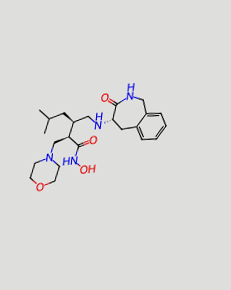 CC(C)C[C@@H](CN[C@H]1Cc2ccccc2CNC1=O)[C@H](CN1CCOCC1)C(=O)NO